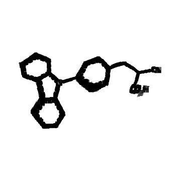 N#CC(Cc1ccc(-n2c3ccccc3c3ccccc32)cc1)C(=O)O